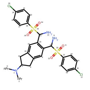 CCCN(CCC)C1Cc2cc(C(N)S(=O)(=O)c3ccc(Cl)cc3)c(C(N)S(=O)(=O)c3ccc(Cl)cc3)cc2C1